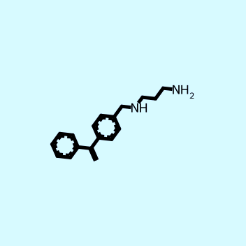 C=C(c1ccccc1)c1ccc(CNCCCN)cc1